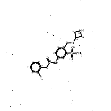 NS(=O)(=O)c1cc(NC(=O)Cc2ccccc2Cl)ccc1COC1CNC1